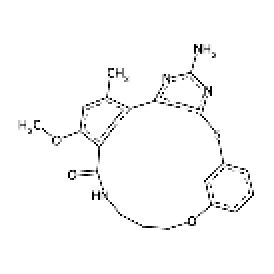 COc1cc(C)c2cc1C(=O)NCCCOc1cccc(c1)Sc1cc-2nc(N)n1